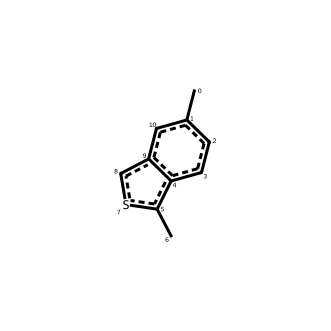 Cc1ccc2c(C)scc2c1